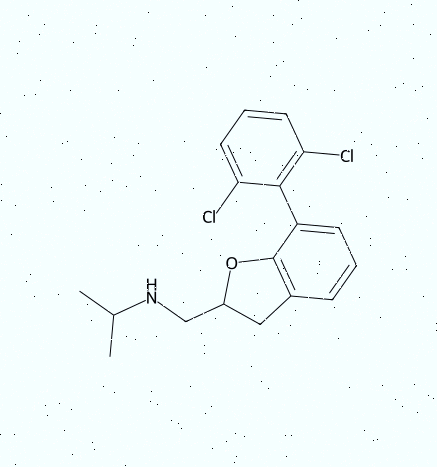 CC(C)NCC1Cc2cccc(-c3c(Cl)cccc3Cl)c2O1